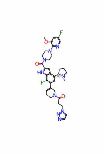 COc1cc(F)cnc1N1CCN(C(=O)c2cc3c([C@H]4CCCN4C)cc(C4=CCCN(C(=O)CCn5ccnn5)C4)c(F)c3[nH]2)CC1